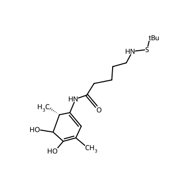 CC1=C(O)C(O)[C@H](C)C(NC(=O)CCCCNSC(C)(C)C)=C1